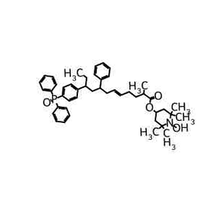 CCC(CC(C/C=C/CCC(C)C(=O)OC1CC(C)(C)N(O)C(C)(C)C1)c1ccccc1)c1ccc(P(=O)(c2ccccc2)c2ccccc2)cc1